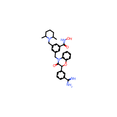 CC1CCCC(C)N1Cc1cc(CN2C(=O)C(c3cccc(C(=N)N)c3)Oc3ccccc32)cc(C(=O)NO)c1